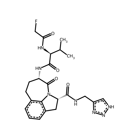 CC(C)[C@H](NC(=O)CF)C(=O)N[C@H]1CCc2cccc3c2N(C1=O)[C@H](C(=O)NCc1c[nH]nn1)C3